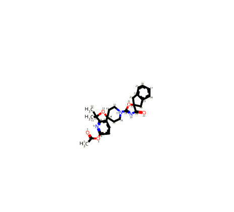 CC(=O)Oc1ccc2c(n1)C(C)(C)OC21CCN(C2=NC(=O)C3(Cc4ccccc4C3)O2)CC1